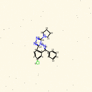 Clc1ccc2c(c1)c(-c1ccccc1)nn1c(N3CCCC3)nnc21